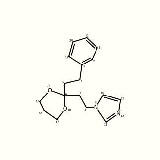 c1ccc(CCC2(CCn3ccnc3)OCCCO2)cc1